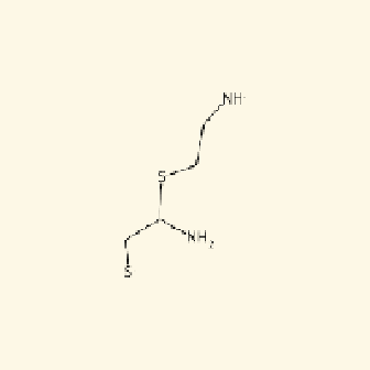 [NH]CCSC(N)C[S]